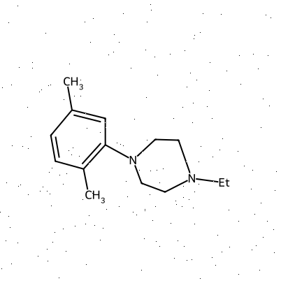 CCN1CCN(c2cc(C)ccc2C)CC1